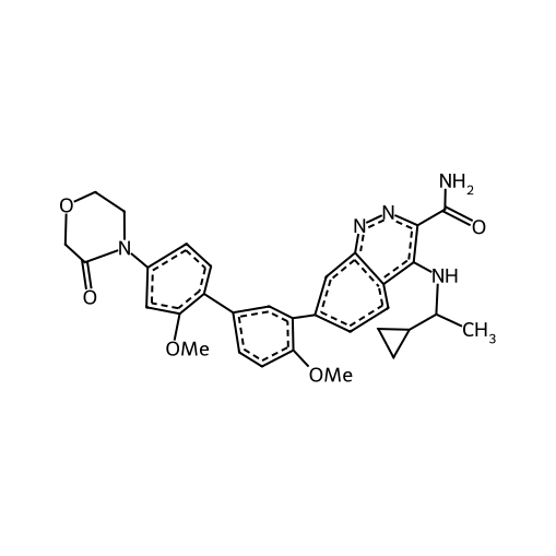 COc1cc(N2CCOCC2=O)ccc1-c1ccc(OC)c(-c2ccc3c(NC(C)C4CC4)c(C(N)=O)nnc3c2)c1